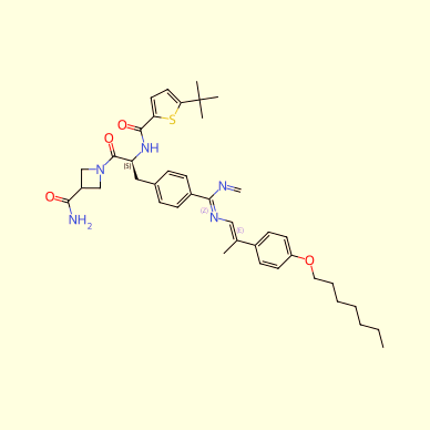 C=N/C(=N\C=C(/C)c1ccc(OCCCCCCC)cc1)c1ccc(C[C@H](NC(=O)c2ccc(C(C)(C)C)s2)C(=O)N2CC(C(N)=O)C2)cc1